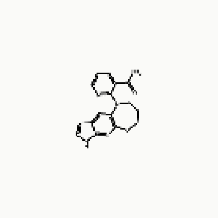 NC(=O)c1cccnc1N1CCCOc2nc3[nH]ccc3cc21